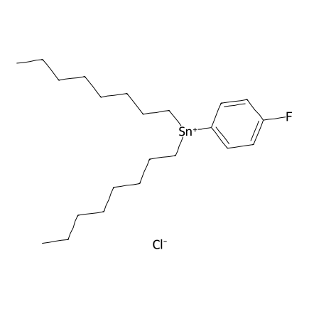 CCCCCCC[CH2][Sn+]([CH2]CCCCCCC)[c]1ccc(F)cc1.[Cl-]